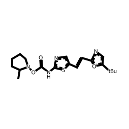 CC1CCCCN1OC(=O)Nc1ncc(/C=C/c2ncc(C(C)(C)C)o2)s1